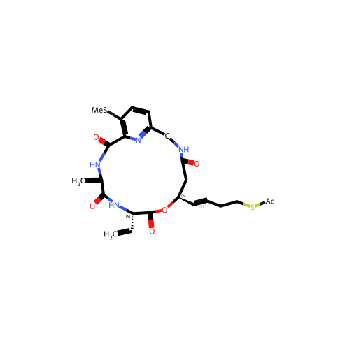 C=C[C@@H]1NC(=O)C(=C)NC(=O)c2nc(ccc2SC)CNC(=O)C[C@@H](/C=C/CCSC(C)=O)OC1=O